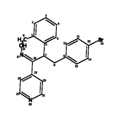 Cc1ccccc1C(Cc1ccc(Br)cc1)/C(=N\O)c1ccncc1